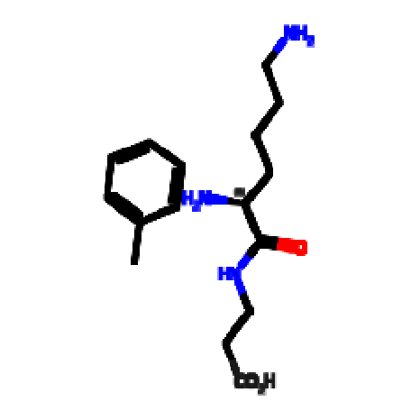 Cc1ccccc1.NCCCC[C@H](N)C(=O)NCCC(=O)O